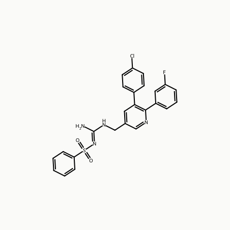 N/C(=N\S(=O)(=O)c1ccccc1)NCc1cnc(-c2cccc(F)c2)c(-c2ccc(Cl)cc2)c1